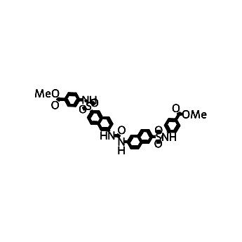 COC(=O)c1ccc(NS(=O)(=O)c2ccc3cc(NC(=O)Nc4ccc5cc(S(=O)(=O)Nc6ccc(C(=O)OC)cc6)ccc5c4)ccc3c2)cc1